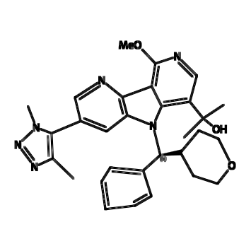 COc1ncc(C(C)(C)O)c2c1c1ncc(-c3c(C)nnn3C)cc1n2[C@H](c1ccccc1)C1CCOCC1